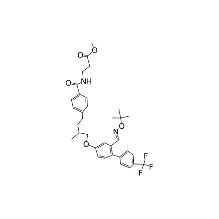 COC(=O)CCNC(=O)c1ccc(CCC(C)COc2ccc(-c3ccc(C(F)(F)F)cc3)c(C=NOC(C)(C)C)c2)cc1